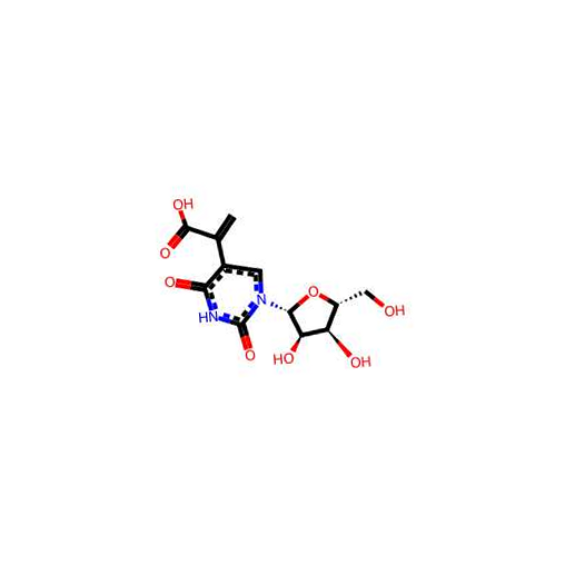 C=C(C(=O)O)c1cn([C@@H]2O[C@H](CO)[C@@H](O)[C@H]2O)c(=O)[nH]c1=O